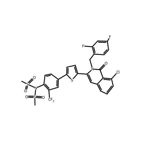 CS(=O)(=O)N(c1ccc(-c2ccc(-c3cc4cccc(Cl)c4c(=O)n3Cc3ccc(F)cc3F)s2)cc1C(F)(F)F)S(C)(=O)=O